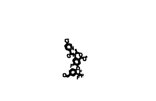 COC(=O)c1cc(Oc2ccc(C=O)cc2C(F)(F)F)c(F)cc1N(C(=O)c1ccc(Cl)cn1)C(C)C